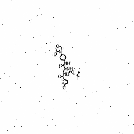 O=C(N[C@@H](CNC(=O)c1ccc(Cl)s1)C(=O)Nc1ccc(N2CCOCC2=O)cc1)OCC(F)F